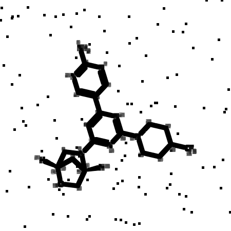 Nc1ncc(-c2cc(N3C[C@@H]4C[C@H]3CO4)nc(N3CCC(C(F)(F)F)CC3)n2)cn1